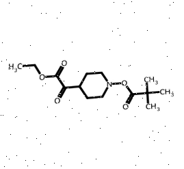 CCOC(=O)C(=O)C1CCN(OC(=O)C(C)(C)C)CC1